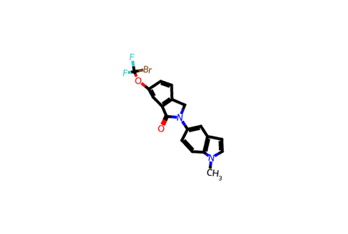 Cn1ccc2cc(N3Cc4ccc(OC(F)(F)Br)cc4C3=O)ccc21